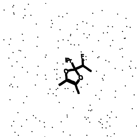 CC1=C(C)OC(C(C)C)(C(C)F)O1